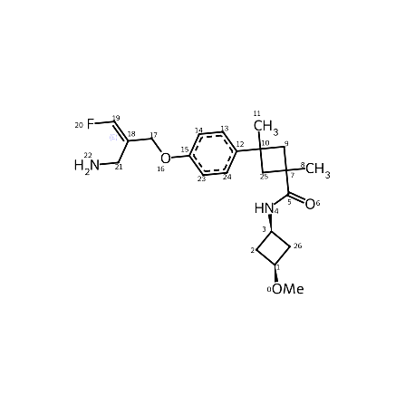 CO[C@H]1C[C@@H](NC(=O)C2(C)CC(C)(c3ccc(OC/C(=C/F)CN)cc3)C2)C1